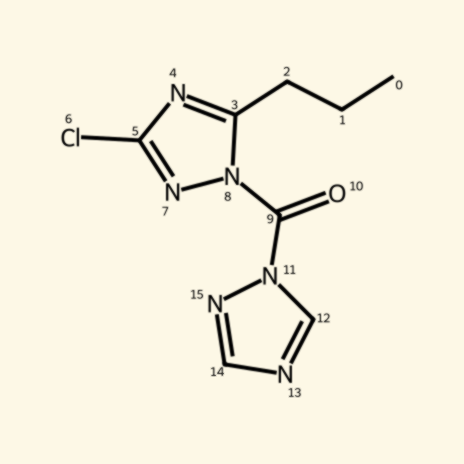 CCCc1nc(Cl)nn1C(=O)n1cncn1